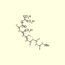 CCC(C)CC(C)CC(C)CC(C)/C=C(C)/C=C(/CC(C)C(=O)OC(C(=O)O)C(=O)O)C(=O)O